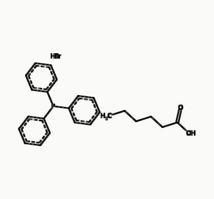 Br.CCCCCC(=O)O.c1ccc(P(c2ccccc2)c2ccccc2)cc1